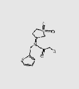 O=C(CCl)N(Cc1cccs1)C1CCS(=O)(=O)C1